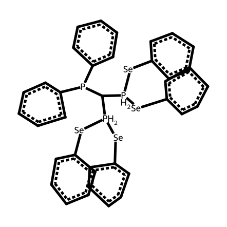 c1ccc([Se][PH2]([Se]c2ccccc2)C(P(c2ccccc2)c2ccccc2)[PH2]([Se]c2ccccc2)[Se]c2ccccc2)cc1